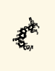 CCC(c1ccc2cc(OC3CC(C)CC(C)(C)C3)ccc2c1)N1CCC(C(=O)O)CC1